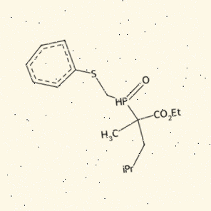 CCOC(=O)C(C)(CC(C)C)[PH](=O)CSc1ccccc1